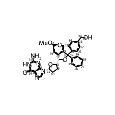 COc1ccc(C(OC[C@@H]2CC[C@H](n3cnc4c(=O)[nH]c(N)nc43)O2)(c2ccccc2)c2ccc(CO)cc2)cc1